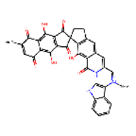 COC1=CC(=O)c2c(O)c3c(c(O)c2C1=O)C(=O)C1(CCc2cc4cc(/C=[N+](/NC(C)=O)c5c[nH]c6ccccc56)[nH]c(=O)c4c(O)c21)C3=O